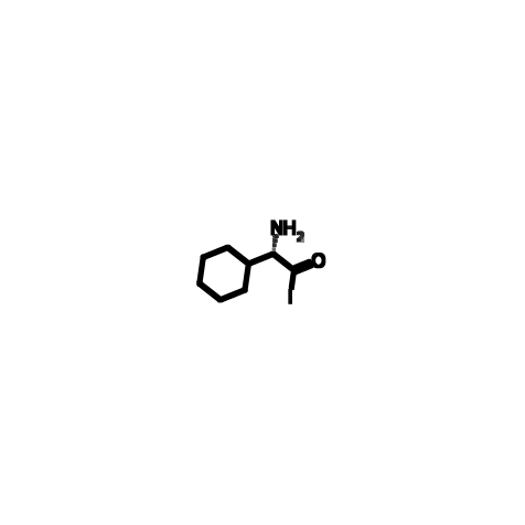 N[C@H](C(=O)I)C1CCCCC1